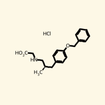 C[C@@H](CNCC(=O)O)Cc1ccc(OCc2ccccc2)cc1.Cl